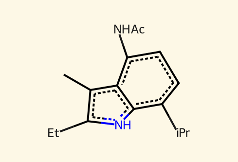 CCc1[nH]c2c(C(C)C)ccc(NC(C)=O)c2c1C